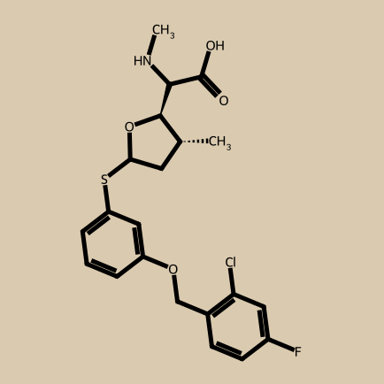 CNC(C(=O)O)[C@@H]1OC(Sc2cccc(OCc3ccc(F)cc3Cl)c2)C[C@H]1C